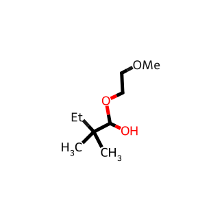 CCC(C)(C)C(O)OCCOC